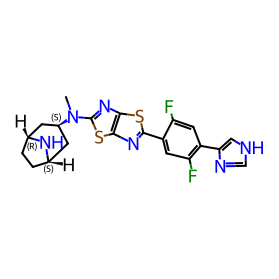 CN(c1nc2sc(-c3cc(F)c(-c4c[nH]cn4)cc3F)nc2s1)[C@@H]1C[C@H]2CC[C@@H](C1)N2